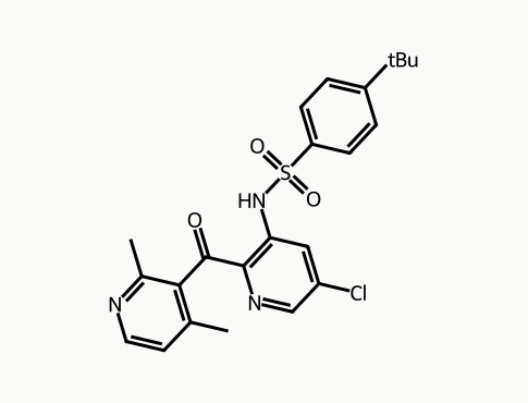 Cc1ccnc(C)c1C(=O)c1ncc(Cl)cc1NS(=O)(=O)c1ccc(C(C)(C)C)cc1